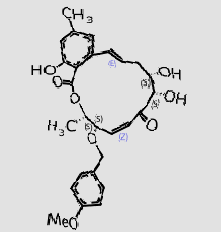 COc1ccc(CO[C@H]2/C=C\C(=O)[C@@H](O)[C@@H](O)C/C=C/c3cc(C)cc(O)c3C(=O)O[C@H]2C)cc1